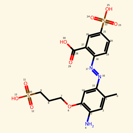 Cc1cc(N)c(OCCCS(=O)(=O)O)cc1N=Nc1ccc(S(=O)(=O)O)cc1C(=O)O